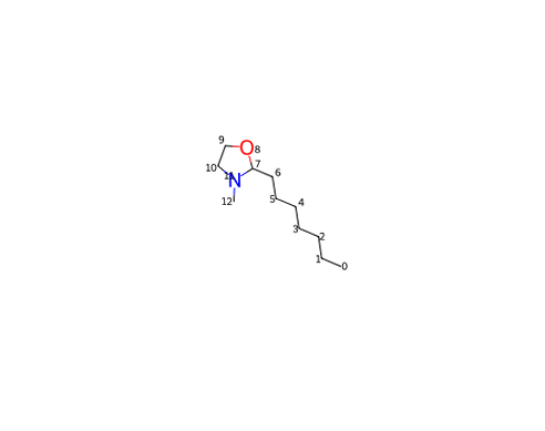 CCCCCCCC1OCCN1C